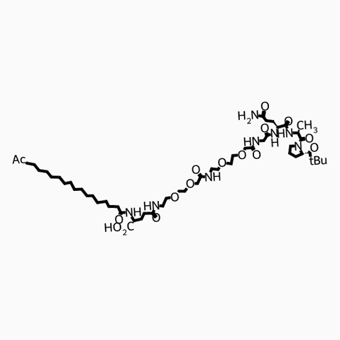 CC(=O)CCCCCCCCCCCCCCCCC(=O)N[C@H](CCC(=O)NCCOCCOCC(=O)NCCOCCOCC(=O)NCC(=O)N[C@@H](CCC(N)=O)C(=O)N[C@@H](C)C(=O)N1CCC[C@H]1C(=O)C(C)(C)C)C(=O)O